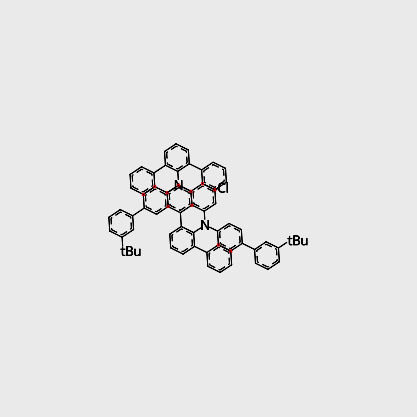 CC(C)(C)c1cccc(-c2ccc(N(c3cc(Cl)cc(N(c4ccc(-c5cccc(C(C)(C)C)c5)cc4)c4c(-c5ccccc5)cccc4-c4ccccc4)c3)c3c(-c4ccccc4)cccc3-c3ccccc3)cc2)c1